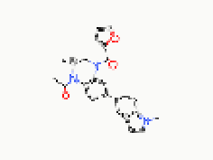 CC(=O)N1c2ccc(-c3ccc4c(ccn4C)c3)cc2N(C(=O)c2ccco2)C[C@@H]1C